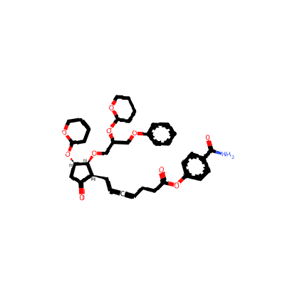 NC(=O)c1ccc(OC(=O)CCC=C=CC[C@H]2C(=O)C[C@H](OC3CCCCO3)[C@H]2OCC(COc2ccccc2)OC2CCCCO2)cc1